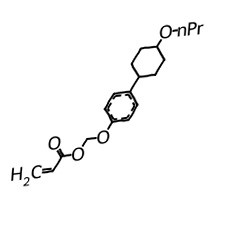 C=CC(=O)OCOc1ccc(C2CCC(OCCC)CC2)cc1